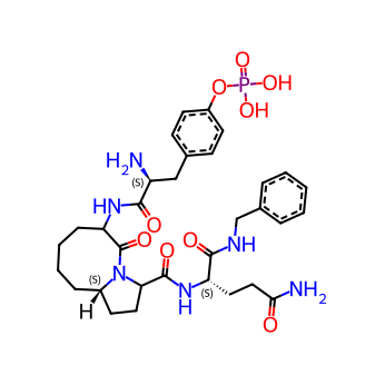 NC(=O)CC[C@H](NC(=O)C1CC[C@@H]2CCCCC(NC(=O)[C@@H](N)Cc3ccc(OP(=O)(O)O)cc3)C(=O)N12)C(=O)NCc1ccccc1